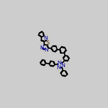 c1ccc(-c2ccc(-c3nc(-c4ccccc4)nc(-c4cccc(-c5cccc(-c6ccc(-c7ncnc8c7sc7nc9ccccc9cc78)cc6)c5)c4)n3)cc2)cc1